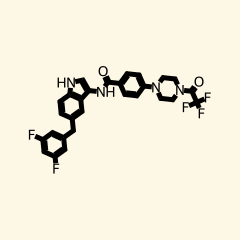 O=C(Nc1c[nH]c2ccc(Cc3cc(F)cc(F)c3)cc12)c1ccc(N2CCN(C(=O)C(F)(F)F)CC2)cc1